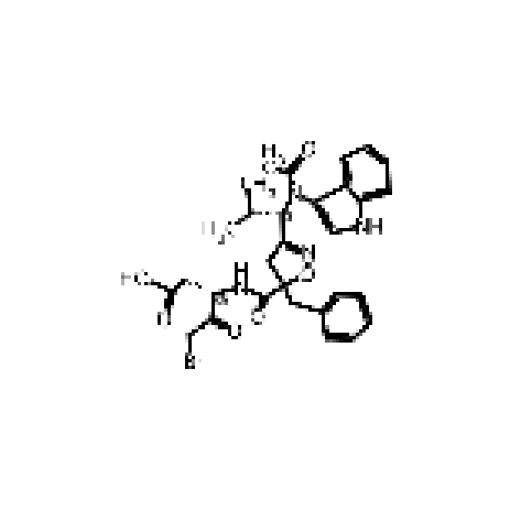 CC(=O)N(c1c[nH]c2ccccc12)[C@H](C1=NOC(Cc2ccccc2)(C(=O)N[C@@H](CC(=O)O)C(=O)CBr)C1)C(C)C